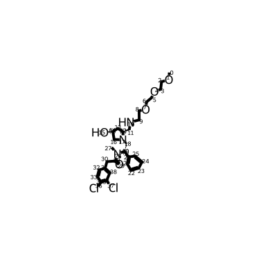 COCCOCCOCCNC[C@@H]1C[C@@H](O)CN1C[C@H](c1ccccc1)N(C)C(=O)Cc1ccc(Cl)c(Cl)c1